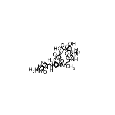 C[C@H](CCC(=O)N[C@@H](CN)C(=O)N[C@@H](CC(=O)O)C(=O)N[C@@H](CSC1CC(=O)N(C)C1=O)C(=O)O)NC(=O)c1ccc(NCc2cnc3nc(N)[nH]c(=O)c3n2)cc1